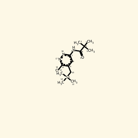 CC(C)(C)C(=O)Nc1cc(CS(C)(C)C)c(Cl)nn1